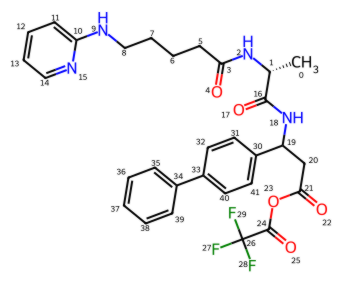 C[C@@H](NC(=O)CCCCNc1ccccn1)C(=O)NC(CC(=O)OC(=O)C(F)(F)F)c1ccc(-c2ccccc2)cc1